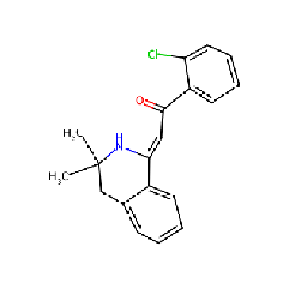 CC1(C)Cc2ccccc2/C(=C/C(=O)c2ccccc2Cl)N1